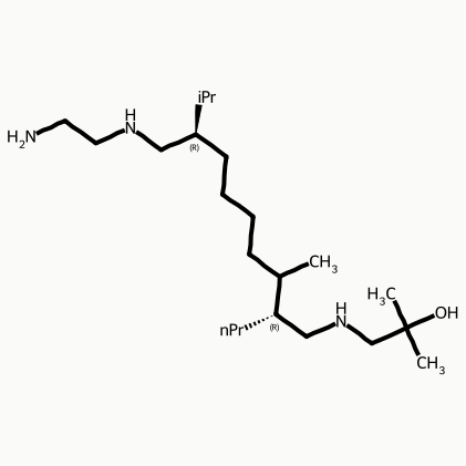 CCC[C@@H](CNCC(C)(C)O)C(C)CCCC[C@@H](CNCCN)C(C)C